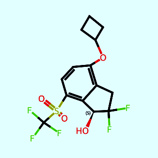 O=S(=O)(c1ccc(OC2CCC2)c2c1[C@H](O)C(F)(F)C2)C(F)(F)F